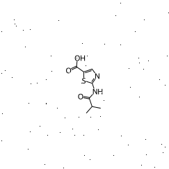 CC(C)C(=O)Nc1ncc(C(=O)O)s1